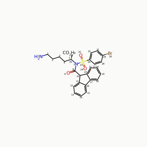 NCCCC[C@@H](C(=O)O)N(C(=O)C1c2ccccc2-c2ccccc21)S(=O)(=O)c1ccc(Br)cc1